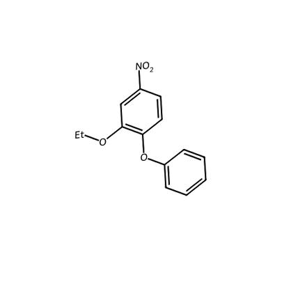 CCOc1cc([N+](=O)[O-])ccc1Oc1ccccc1